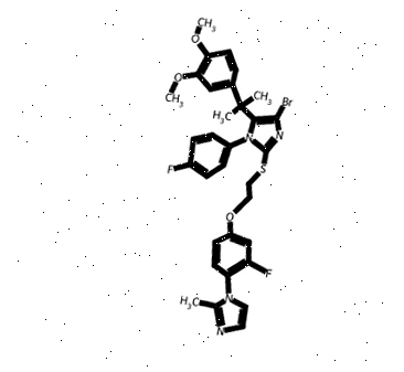 COc1ccc(C(C)(C)c2c(Br)nc(SCCOc3ccc(-n4ccnc4C)c(F)c3)n2-c2ccc(F)cc2)cc1OC